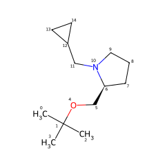 CC(C)(C)OC[C@@H]1CCCN1CC1CC1